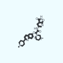 C[C@H]1CC[C@H](c2ccc3ccc(C4CCN(C)CC4)nc3c2)N(C(=O)C(=O)Nc2cnc3o[nH]c(=O)c3c2)C1